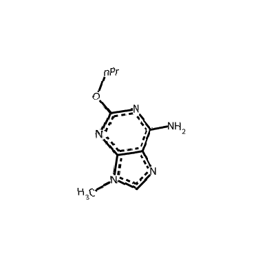 CCCOc1nc(N)c2ncn(C)c2n1